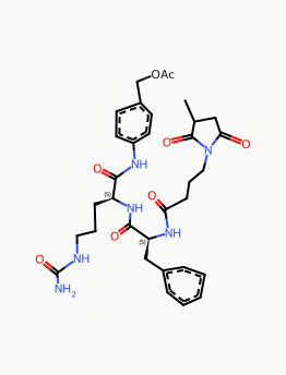 CC(=O)OCc1ccc(NC(=O)[C@H](CCCNC(N)=O)NC(=O)[C@H](Cc2ccccc2)NC(=O)CCCN2C(=O)CC(C)C2=O)cc1